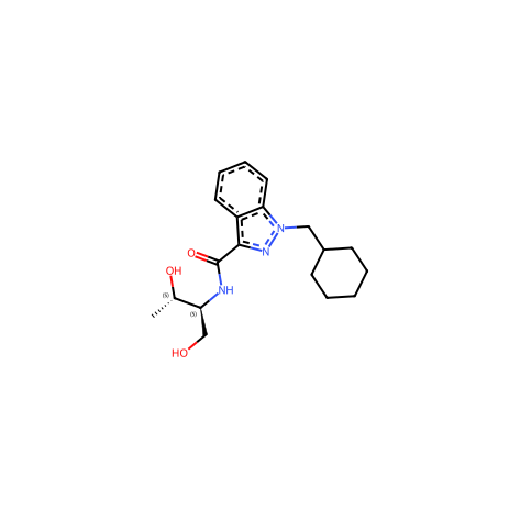 C[C@H](O)[C@H](CO)NC(=O)c1nn(CC2CCCCC2)c2ccccc12